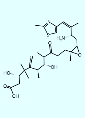 CC(=Cc1csc(C)n1)[C@@H](N)C[C@@H]1O[C@]1(C)CCC(=O)C(C)[C@H](O)[C@@H](C)C(=O)C(C)(C)[C@@H](O)CC(=O)O